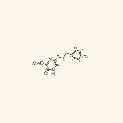 COc1nc(SCCc2ccc(Cl)cc2)c[nH]c1=O